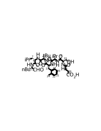 CCCC[C@@H](C=O)NC(=O)[C@H](CC(C)C)NC(=O)[C@@H](NC(=O)[C@H](Cc1ccccc1C)NC(=O)[C@H](NC(=O)[C@@H](CO)NC(=O)CCC(=O)O)C(C)C)C(C)(C)C